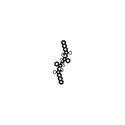 O=C1C(=CC2=Cc3sc4c5c(sc4c3C23CCCCC3)C=C(C=C2C(=O)c3cc4cc6ccccc6cc4cc3C2=O)C52CCCCC2)C(=O)c2cc3cc4ccccc4cc3cc21